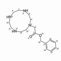 O=C(CN1CCNCCNCCNCC1)OCc1ccccc1